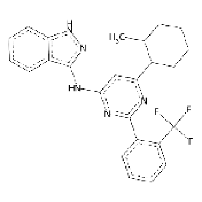 CC1CCCCC1c1cc(Nc2n[nH]c3ccccc23)nc(-c2ccccc2C(F)(F)F)n1